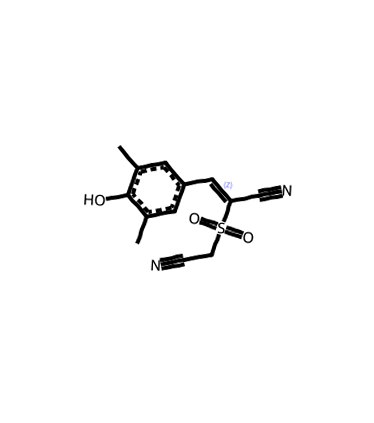 Cc1cc(/C=C(/C#N)S(=O)(=O)CC#N)cc(C)c1O